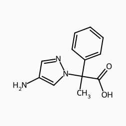 CC(C(=O)O)(c1ccccc1)n1cc(N)cn1